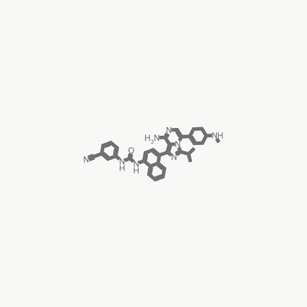 CNC1CC=C(c2cnc(N)c3c(-c4ccc(NC(=O)Nc5cccc(C#N)c5)c5ccccc45)nc(C(C)C)n23)CC1